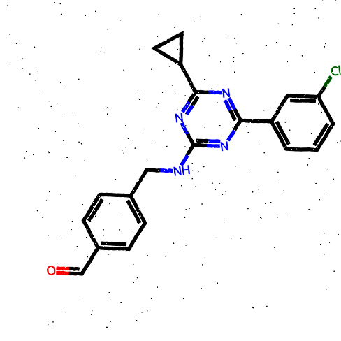 O=Cc1ccc(CNc2nc(-c3cccc(Cl)c3)nc(C3CC3)n2)cc1